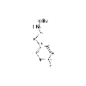 CCCCNCCc1ccc(C)cc1